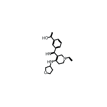 C=CN1CCC(NC2CCOC2)=C(C(=N)c2cccc(C(=C)O)c2)C1